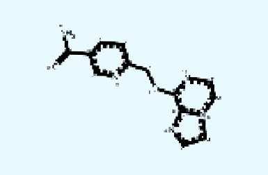 NC(=O)c1ccc(COc2nccn3ccnc23)nc1